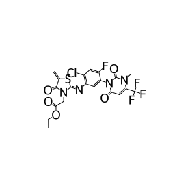 C=C1SC(=Nc2cc(-n3c(=O)cc(C(F)(F)F)n(C)c3=O)c(F)cc2Cl)N(CC(=O)OCC)C1=O